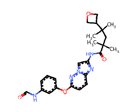 CC(C)(CC(C)(C)C1COC1)C(=O)Nc1cn2nc(Oc3cccc(NC=O)c3)ccc2n1